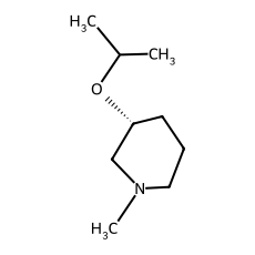 CC(C)O[C@@H]1CCCN(C)C1